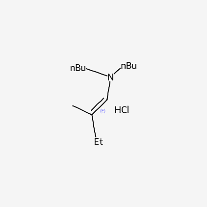 CCCCN(/C=C(\C)CC)CCCC.Cl